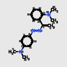 C=C(N=Nc1ccc(N(C)C)cc1)c1ccccc1N(C)C